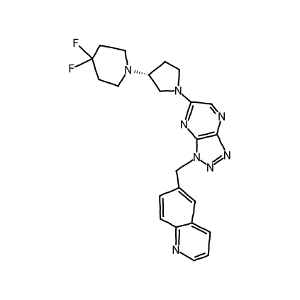 FC1(F)CCN([C@@H]2CCN(c3cnc4nnn(Cc5ccc6ncccc6c5)c4n3)C2)CC1